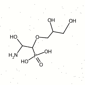 NC(O)C(OCC(O)CO)P(=O)(O)O